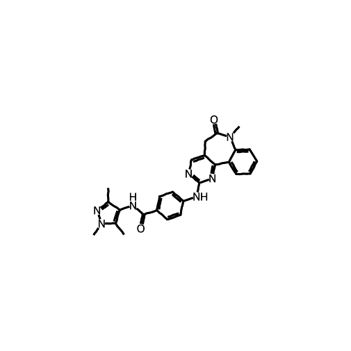 Cc1nn(C)c(C)c1NC(=O)c1ccc(Nc2ncc3c(n2)-c2ccccc2N(C)C(=O)C3)cc1